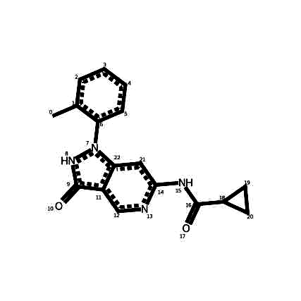 Cc1ccccc1-n1[nH]c(=O)c2cnc(NC(=O)C3CC3)cc21